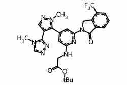 Cn1cnnc1-c1cnn(C)c1-c1cc(NCC(=O)OC(C)(C)C)nc(N2Cc3c(cccc3C(F)(F)F)C2=O)c1